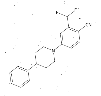 N#Cc1ccc(N2CCC(c3cc[c]cc3)CC2)cc1C(F)F